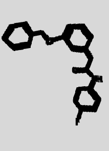 O=C(Cc1cccc(OCc2ccccc2)c1)Nc1ccc(F)cc1